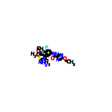 CCOc1cnc(C(=O)Nc2cc(F)c(F)c([C@]3(C)C[C@](C)(COC)SC(N)=N3)c2)cn1